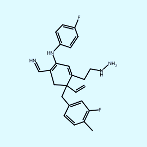 C=CC1(Cc2ccc(C)c(F)c2)CC(C=N)=C(Nc2ccc(F)cc2)C=C1CCNN